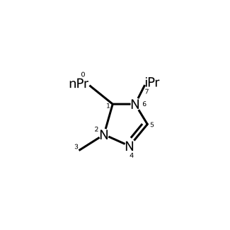 CCCC1N(C)N=CN1C(C)C